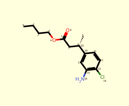 CCCCOC(=O)C[C@H](C)c1ccc(Cl)c(N)c1